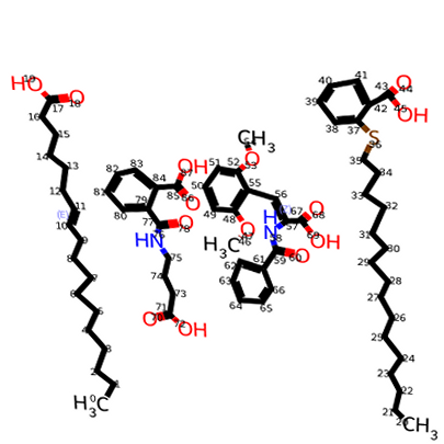 CCCCCCCCCC/C=C/CCCCCC(=O)O.CCCCCCCCCCCCCCCCSc1ccccc1C(=O)O.COc1cccc(OC)c1/C=C(\NC(=O)c1ccccc1)C(=O)O.O=C(O)CCCNC(=O)c1ccccc1C(=O)O